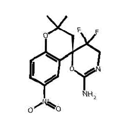 CC1(C)C[C@@]2(OC(N)=NCC2(F)F)c2cc([N+](=O)[O-])ccc2O1